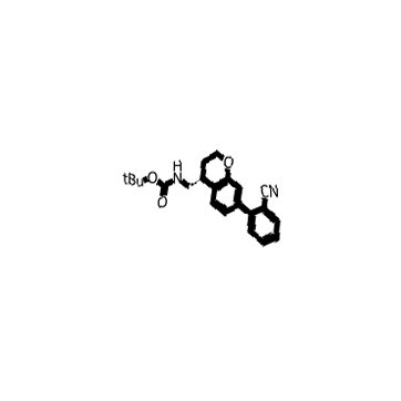 CC(C)(C)OC(=O)NC[C@@H]1CCOc2cc(-c3ccccc3C#N)ccc21